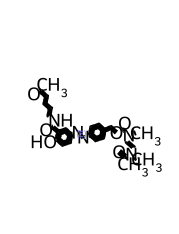 CC(=O)CCCCNC(=O)c1cc(/N=N/c2ccc(COC(=O)N(C)CCN(C)C(C)=O)cc2)ccc1O